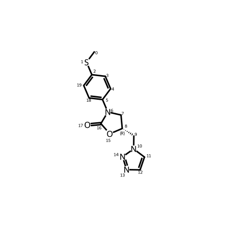 CSc1ccc(N2C[C@H](Cn3ccnn3)OC2=O)cc1